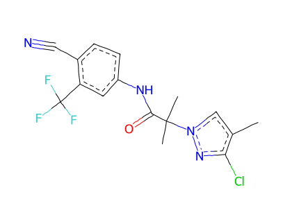 Cc1cn(C(C)(C)C(=O)Nc2ccc(C#N)c(C(F)(F)F)c2)nc1Cl